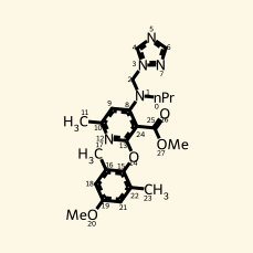 CCCN(Cn1cncn1)c1cc(C)nc(Oc2c(C)cc(OC)cc2C)c1C(=O)OC